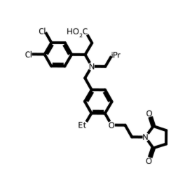 CCc1cc(CN(CC(C)C)C(CC(=O)O)c2ccc(Cl)c(Cl)c2)ccc1OCCN1C(=O)CCC1=O